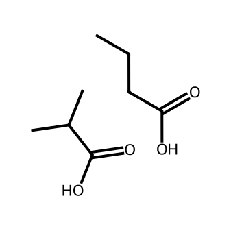 CC(C)C(=O)O.CCCC(=O)O